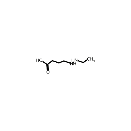 CCNNCCCC(=O)O